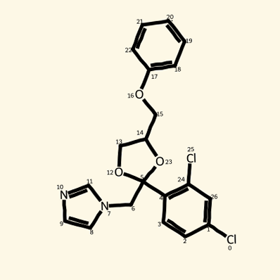 Clc1ccc(C2(Cn3ccnc3)OCC(COc3cc[c]cc3)O2)c(Cl)c1